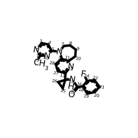 Cc1nccc(N2CCCCc3nc(C4(NC(=O)c5ccccc5F)CC4)ccc32)n1